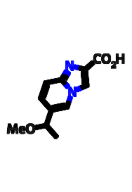 COC(C)c1ccc2nc(C(=O)O)cn2c1